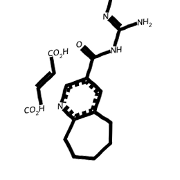 CN=C(N)NC(=O)c1cnc2c(c1)CCCCC2.O=C(O)C=CC(=O)O